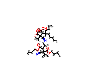 CCCCCC(C)(CCCC)C(C(=O)O)C(C#N)(C(=O)O)C(C)C.CCCCOC(=O)C(C(C)C)C(C#N)(C(=O)OCCCC)C(C)C